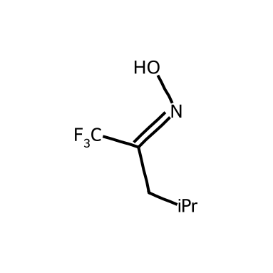 CC(C)CC(=NO)C(F)(F)F